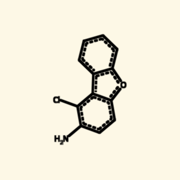 Nc1ccc2oc3ccccc3c2c1Cl